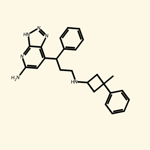 CC1(c2ccccc2)CC(NCCC(c2ccccc2)c2cc(N)nc3[nH]nnc23)C1